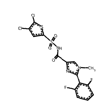 Cn1cc(C(=O)NS(=O)(=O)c2cc(Cl)c(Cl)s2)nc1-c1c(F)cccc1F